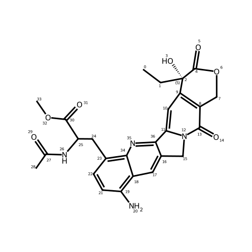 CC[C@@]1(O)C(=O)OCc2c1cc1n(c2=O)Cc2cc3c(N)ccc(CC(NC(C)=O)C(=O)OC)c3nc2-1